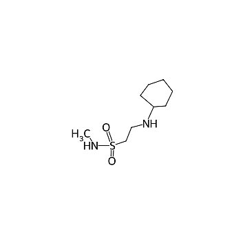 CNS(=O)(=O)CCNC1CCCCC1